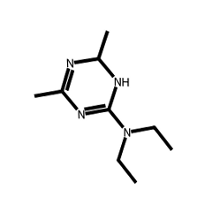 CCN(CC)C1=NC(C)=NC(C)N1